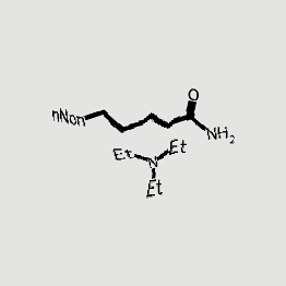 CCCCCCCCCCCCCC(N)=O.CCN(CC)CC